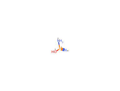 N#P(N)O